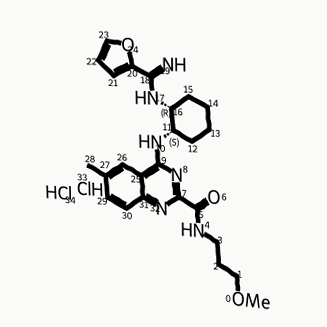 COCCCNC(=O)c1nc(N[C@H]2CCCC[C@H]2NC(=N)c2ccco2)c2cc(C)ccc2n1.Cl.Cl